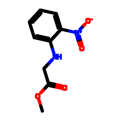 COC(=O)CNc1ccccc1[N+](=O)[O-]